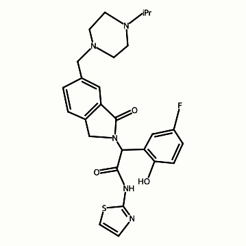 CC(C)N1CCN(Cc2ccc3c(c2)C(=O)N(C(C(=O)Nc2nccs2)c2cc(F)ccc2O)C3)CC1